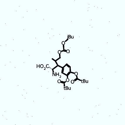 CCC(C)COC(=O)OCC(C)C(c1ccc(OC(=O)C(C)(C)C)c(OC(=O)C(C)(C)C)c1)[C@H](N)C(=O)O